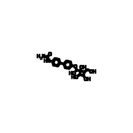 NC(=O)Nc1ccc(-c2ccc(OC(O)C3(O)C(O)C(O)C3CO)cc2)cc1